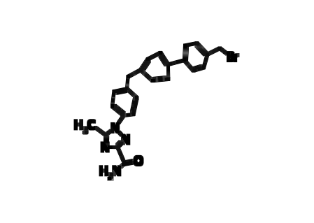 Cc1nc(C(N)=O)nn1-c1ccc(Cc2ccc(-c3ccc(CBr)cc3)cc2)cc1